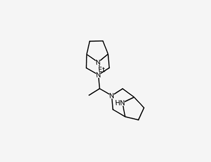 CCN1C2CCC1CN(C(C)N1CC3CCC(C1)N3)C2